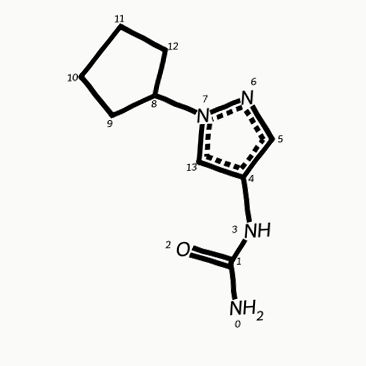 NC(=O)Nc1cnn(C2CCCC2)c1